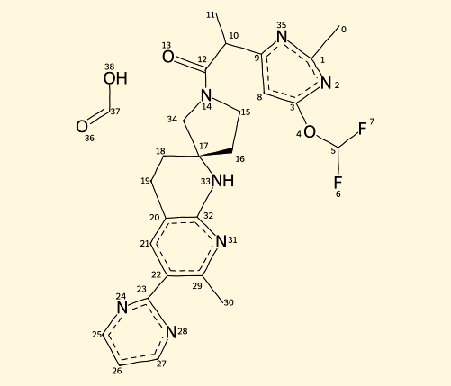 Cc1nc(OC(F)F)cc(C(C)C(=O)N2CC[C@@]3(CCc4cc(-c5ncccn5)c(C)nc4N3)C2)n1.O=CO